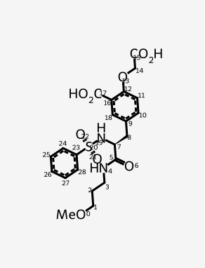 COCCCNC(=O)[C@H](Cc1ccc(OCC(=O)O)c(C(=O)O)c1)NS(=O)(=O)c1ccccc1